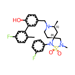 Cc1ccc(F)cc1-c1cc(CN2CC[C@@]3(C[C@@H]2C)CN(C)S(=O)(=O)N3c2cccc(F)c2)ccc1O